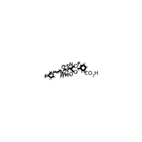 COC(=O)c1c(OCc2cc(C(=O)O)ccc2F)nsc1NC(=O)NCCCN1CC[C@H](F)C1